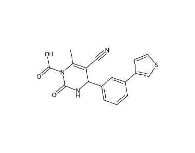 CC1=C(C#N)C(c2cccc(-c3ccsc3)c2)NC(=O)N1C(=O)O